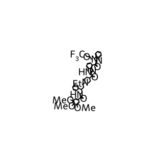 CCC(CC(CNC(=O)c1cc(OC)c(OC)c(OC)c1)c1ccccc1)N1CCC(C(=O)c2nc3c(C(=O)c4nc5ccccc5n4CCOCC(F)(F)F)cccc3[nH]2)CC1